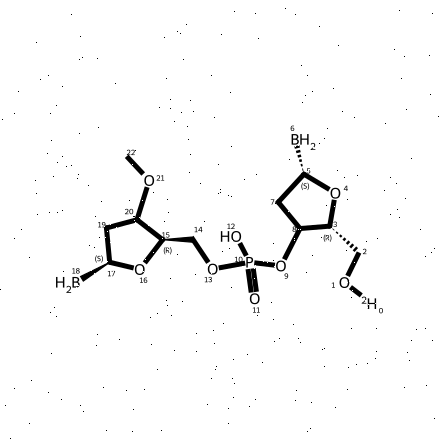 [2H]OC[C@H]1O[C@@H](B)CC1OP(=O)(O)OC[C@H]1O[C@@H](B)CC1OC